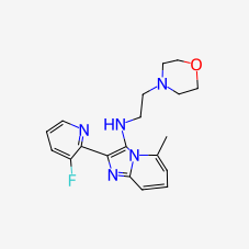 Cc1cccc2nc(-c3ncccc3F)c(NCCN3CCOCC3)n12